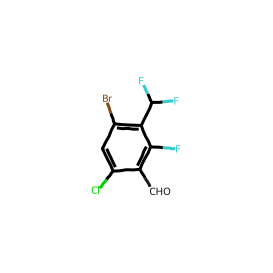 O=Cc1c(Cl)cc(Br)c(C(F)F)c1F